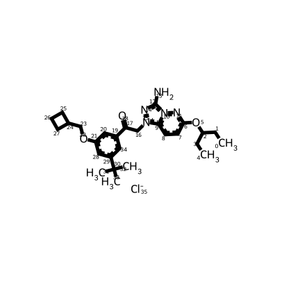 CCC(CC)Oc1ccc2n(n1)c(N)n[n+]2CC(=O)c1cc(OCC2CCC2)cc(C(C)(C)C)c1.[Cl-]